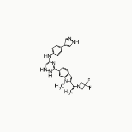 C=C(c1cc2ccc(C3=NC(Nc4ccc(-c5cn[nH]c5)cc4)=CNN3)cc2n1C)N1CC(F)(F)C1